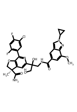 COc1cc(C(=O)NCC(O)(CO)c2cc3c(c(-c4cc(Cl)c(F)cc4F)n2)OC[C@]3(C)C(N)=O)cc2cn(C3CC3)nc12